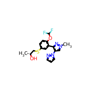 C[C@@H](O)CSc1ccc(OC(F)F)c(-c2nn(C)cc2-n2cccn2)c1